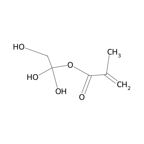 C=C(C)C(=O)OC(O)(O)CO